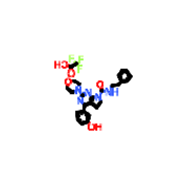 O=C(NCCc1ccccc1)N1CCc2c(-c3cccc(O)c3)nc(N3CCOCC3)nc21.O=C(O)C(F)(F)F